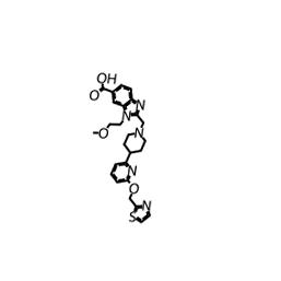 COCCn1c(CN2CCC(c3cccc(OCc4nccs4)n3)CC2)nc2ccc(C(=O)O)cc21